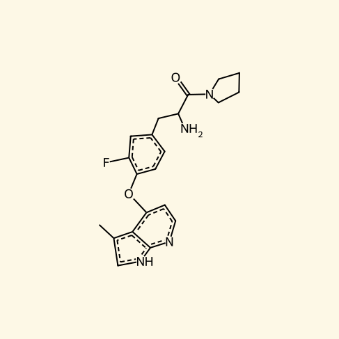 Cc1c[nH]c2nccc(Oc3ccc(CC(N)C(=O)N4CCCC4)cc3F)c12